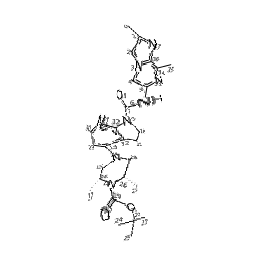 Cc1cn2cc(NC(=O)N3CCc4c(N5C[C@@H](C)N(C(=O)OC(C)(C)C)[C@@H](C)C5)ccnc43)nc(C)c2n1